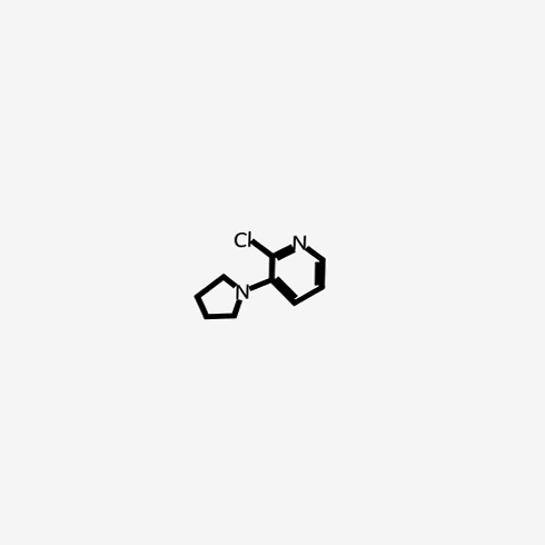 Clc1ncccc1N1CCCC1